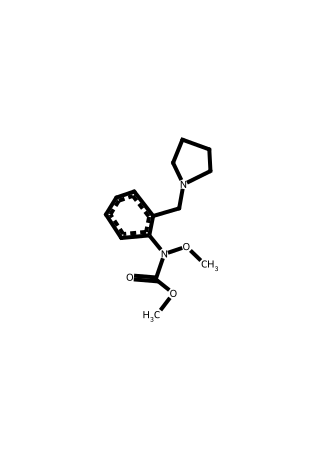 COC(=O)N(OC)c1ccccc1CN1CCCC1